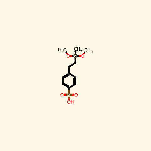 CO[Si](C)(CCc1ccc(S(=O)(=O)O)cc1)OC